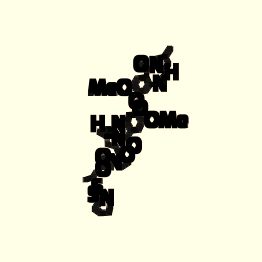 C=C1CC(C2OCCN2C(=O)OCC(C)SSc2ccccn2)N(C(=O)c2cc(OC)c(OOc3cc4c(cc3OC)C(=O)N3CC(=C)C[C@H]3C=N4)cc2N)C1